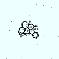 C[N+]12C(=O)C[C@@H]3OCC=C4CN5CC[C@@]6(c7ccccc71)[C@@H]5C[C@@H]4[C@@H]3[C@@H]62